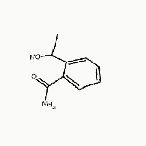 CC(O)c1ccccc1C(N)=O